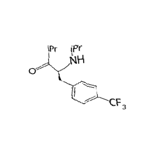 CC(C)N[C@@H](Cc1ccc(C(F)(F)F)cc1)C(=O)C(C)C